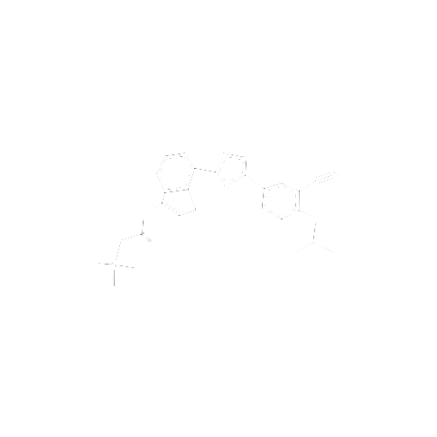 CC(C)Oc1ccc(-c2nc(-c3cccc4c3CC=C4OC(=O)C[N+](C)(C)C)no2)cc1C#N